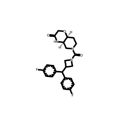 O=C1CO[C@H]2CCN(C(=O)N3CC(C(c4ccc(F)cc4)c4ccc(F)cc4)C3)C[C@H]2N1